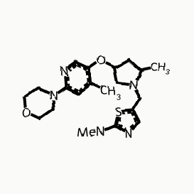 CNc1ncc(CN2CC(Oc3cnc(N4CCOCC4)cc3C)CC2C)s1